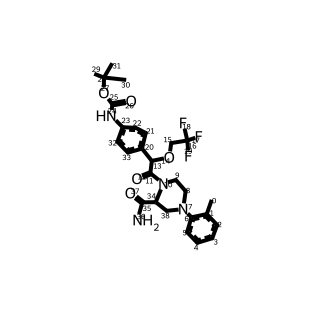 Cc1ccccc1N1CCN(C(=O)C(OCC(F)(F)F)c2ccc(NC(=O)OC(C)(C)C)cc2)C(C(N)=O)C1